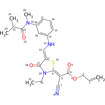 C=CCOC(=O)C(C#N)=c1sc(=CNc2cccc(N(C)C(=O)C(C)C)c2)c(=O)n1CC